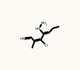 CC/C=C(NN)/C(Cl)=C(/C)C=N